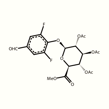 COC(=O)[C@H]1O[C@@H](Oc2c(F)cc(C=O)cc2F)[C@H](OC(C)=O)[C@@H](OC(C)=O)[C@@H]1OC(C)=O